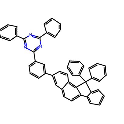 c1ccc(-c2nc(-c3ccccc3)nc(-c3cccc(-c4ccc5c6c(ccc5c4)-c4ccccc4C6(c4ccccc4)c4ccccc4)c3)n2)cc1